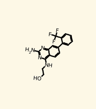 Nc1nc(NCCO)c2ccc(-c3ccccc3C(F)(F)F)cc2n1